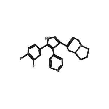 Fc1ccc(-c2[nH]cc(C3=CCN4CCCC4C3)c2-c2ccncc2)cc1F